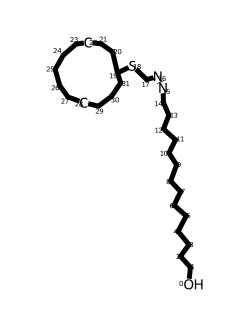 OCCCCCCCCCCCCCC/N=N\CSC1CCCCCCCCCCCC1